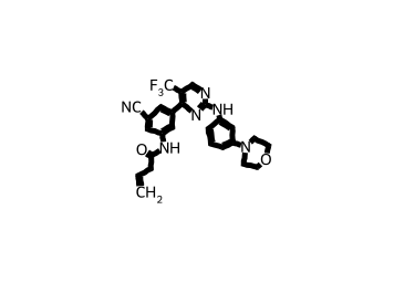 C=CCC(=O)Nc1cc(C#N)cc(-c2nc(Nc3cccc(N4CCOCC4)c3)ncc2C(F)(F)F)c1